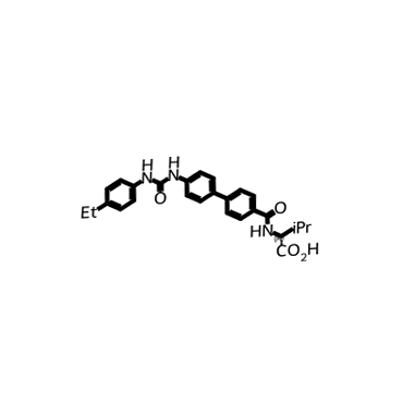 CCc1ccc(NC(=O)Nc2ccc(-c3ccc(C(=O)N[C@@H](C(=O)O)C(C)C)cc3)cc2)cc1